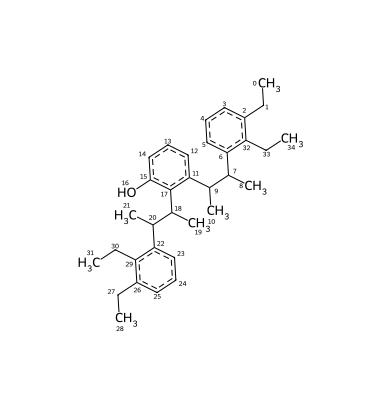 CCc1cccc(C(C)C(C)c2cccc(O)c2C(C)C(C)c2cccc(CC)c2CC)c1CC